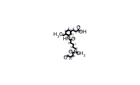 CCc1ccc(/C=C/C(=O)O)cc1NC(=O)CCCCN(C)C(=O)/C=C\C=O